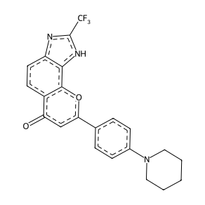 O=c1cc(-c2ccc(N3CCCCC3)cc2)oc2c1ccc1nc(C(F)(F)F)[nH]c12